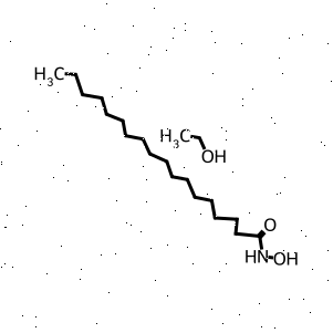 CCCCCCCCCCCCCCCCCC(=O)NO.CCO